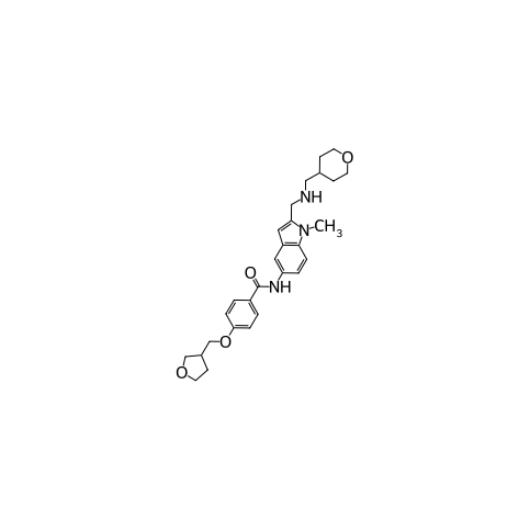 Cn1c(CNCC2CCOCC2)cc2cc(NC(=O)c3ccc(OCC4CCOC4)cc3)ccc21